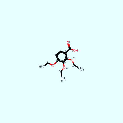 CCOc1ccc(C(=O)O)c(OCC)c1OCC